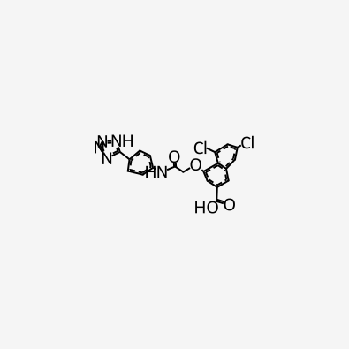 O=C(COc1cc(C(=O)O)cc2cc(Cl)cc(Cl)c12)Nc1ccc(-c2nnn[nH]2)cc1